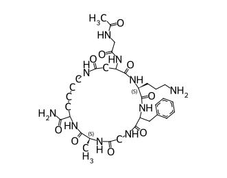 CC(=O)NCC(=O)NC1CC(=O)NCCCCC(C(N)=O)NC(=O)[C@H](C)NC(=O)CNC(=O)C(Cc2ccccc2)NC(=O)[C@H](CCCN)NC1=O